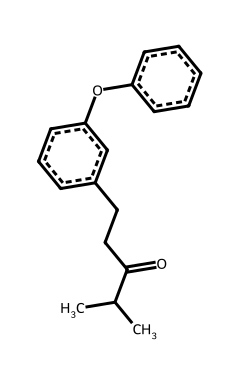 CC(C)C(=O)CCc1cccc(Oc2ccccc2)c1